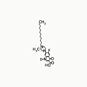 CCCCCCCCCCCCN1CCN(c2cc3c(cc2F)c(=O)c(C(=O)O)cn3C2CC2)CC1C